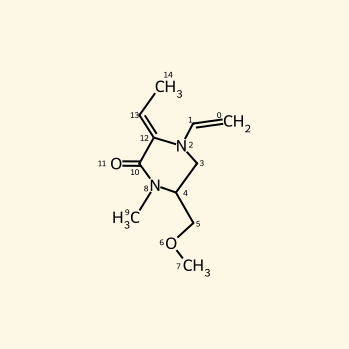 C=CN1CC(COC)N(C)C(=O)/C1=C/C